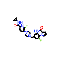 O=C(NC1CC1)c1ccc(N2CCN(Cc3cc(F)c4c(c3)[nH]c(=O)c3cccn34)CC2)c(F)n1